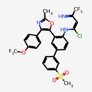 Cc1nc(-c2ccc(OC(F)(F)F)cc2)c(-c2cc(-c3cccc(S(C)(=O)=O)c3)ccc2N/C(Cl)=C\C(=N)C(F)(F)F)o1